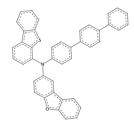 c1ccc(-c2ccc(-c3ccc(N(c4ccc5oc6ccccc6c5c4)c4cccc5c4sc4ccccc45)cc3)cc2)cc1